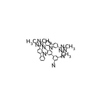 Cc1nc(C)nc(-c2ccc3c4ccccc4n(-c4cc(-c5cc(C#N)cc(C#N)c5)cc(-n5c6ccccc6c6ccc(-c7nc(C)nc(C)n7)cc65)c4C#N)c3c2)n1